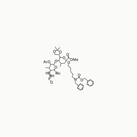 CC[C@H](C)C1O[C@H](O[C@@H]2C(C)C[C@](OCCCCCN(Cc3ccccc3)C(=O)OCc3ccccc3)(C(=O)OC)OC2[C@H]2COC(C)(C)O2)[C@H](OC(C)=O)C(C)[C@@H]1BBP=O